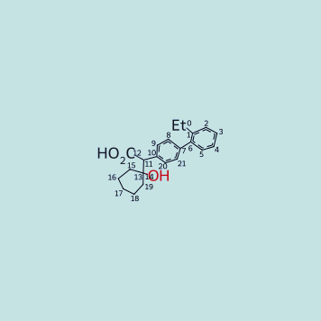 CCc1ccccc1-c1ccc(C(C(=O)O)C2(O)CCCCC2)cc1